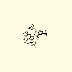 Cn1c(C(C)(C)C)cc(=NC(=O)c2cc(C(F)(F)F)ccc2OC[C@@H]2CCCO2)n1C[C@H]1CCCO1